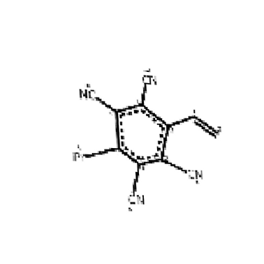 C=Cc1c(C#N)c(C#N)c(C(C)C)c(C#N)c1C#N